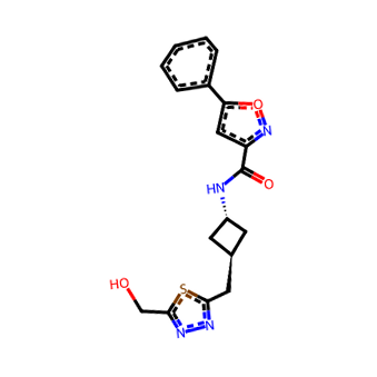 O=C(N[C@H]1C[C@H](Cc2nnc(CO)s2)C1)c1cc(-c2ccccc2)on1